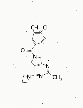 Cc1nc2c(c(N3CCC3)n1)CN(C(=O)c1ccc(Cl)c(C)c1)C2